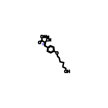 COC(=O)/C(C#N)=C/c1ccc(OCCCCCCO)cc1